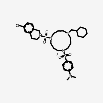 C[C@@H]1CCN(S(=O)(=O)N2CCc3cc(Cl)ccc3C2)CCCN(CC2CCCCC2)CCCN1S(=O)(=O)c1ccc(N(C)C)cc1